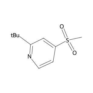 CC(C)(C)c1cc(S(C)(=O)=O)ccn1